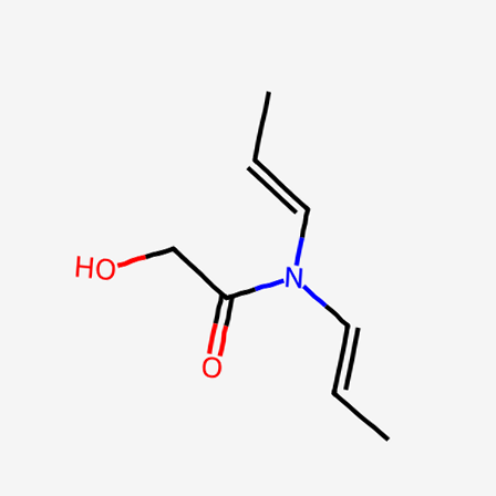 CC=CN(C=CC)C(=O)CO